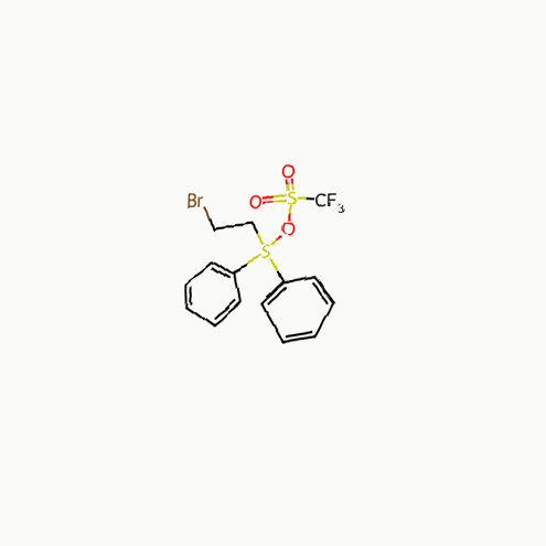 O=S(=O)(OS(CCBr)(c1ccccc1)c1ccccc1)C(F)(F)F